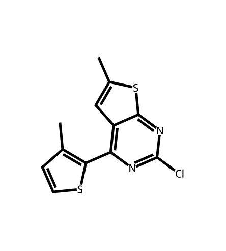 Cc1cc2c(-c3sccc3C)nc(Cl)nc2s1